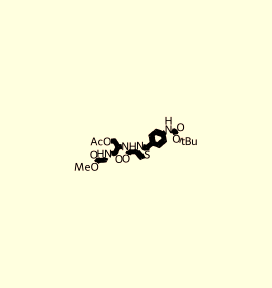 COC(=O)CNC(=O)C(COC(C)=O)NC(=O)c1csc(-c2ccc(NC(=O)OC(C)(C)C)cc2)n1